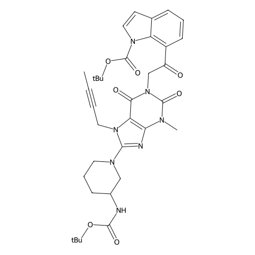 CC#CCn1c(N2CCCC(NC(=O)OC(C)(C)C)C2)nc2c1c(=O)n(CC(=O)c1cccc3ccn(C(=O)OC(C)(C)C)c13)c(=O)n2C